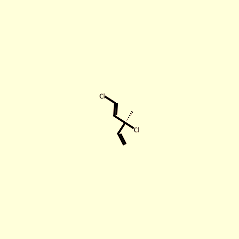 C=C[C@](C)(Cl)/C=C/Cl